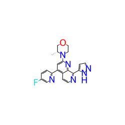 C[C@@H]1COCCN1c1cc(-c2ccc(F)cn2)c2ccnc(-c3ccn[nH]3)c2n1